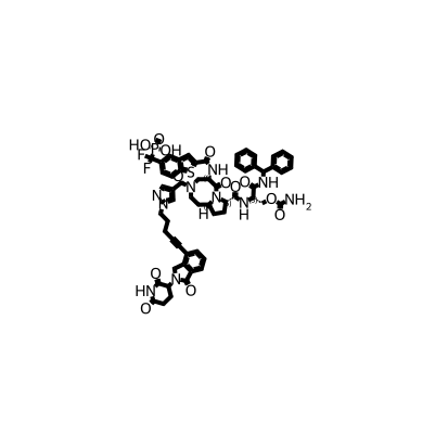 NC(=O)OC[C@H](NC(=O)[C@@H]1CC[C@@H]2CCN(C(=O)c3cnn(CCCC#Cc4cccc5c4CN(C4CCC(=O)NC4=O)C5=O)c3)C[C@H](NC(=O)c3cc4cc(C(F)(F)P(=O)(O)O)ccc4s3)C(=O)N21)C(=O)NC(c1ccccc1)c1ccccc1